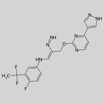 CC(F)(F)c1cc(N/C=C(/COc2nccc(-c3cn[nH]c3)n2)N=N)ccc1F